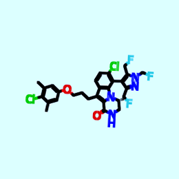 Cc1cc(OCCCc2c3n(c4c(-c5c(CF)nn(CF)c5CF)c(Cl)ccc24)[C@H](C)CNC3=O)cc(C)c1Cl